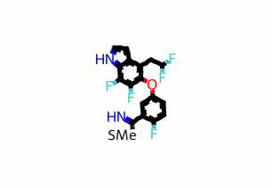 CSC(=N)c1cc(Oc2c(F)c(F)c3[nH]ccc3c2CC(F)F)ccc1F